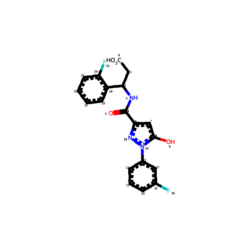 O=C(O)CC(NC(=O)c1cc(O)n(-c2cccc(F)c2)n1)c1ccccc1F